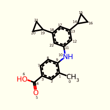 Cc1cc(C(=O)O)ccc1Nc1cc(C2CC2)cc(C2CC2)c1